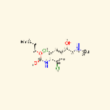 COCCOC(=O)Nc1c(Cl)cc(C(O)CNC(C)(C)C)cc1Cl